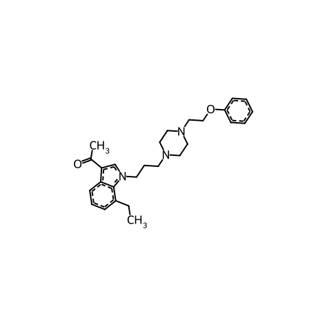 CCc1cccc2c(C(C)=O)cn(CCCN3CCN(CCOc4ccccc4)CC3)c12